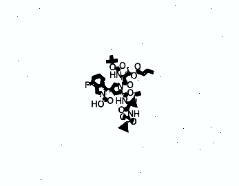 C=C[C@@H]1C[C@]1(NC(=O)[C@@H]1C[C@@H](C2c3cccc(F)c3CN2C(=O)O)CN1C(=O)[C@@H](NC(=O)OC(C)(C)C)[C@@H](C)OC(=O)C=CC)C(=O)NS(=O)(=O)C1CC1